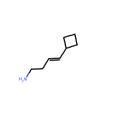 NCCC=CC1CCC1